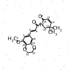 COc1cc(C=CC(=O)N2CC(C)(C)C=CC2=O)cc2c1OCCO2